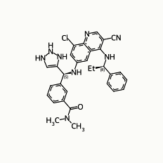 CC[C@@H](Nc1c(C#N)cnc2c(Cl)cc(N[C@H](C3=CNNN3)c3cccc(C(=O)N(C)C)c3)cc12)c1ccccc1